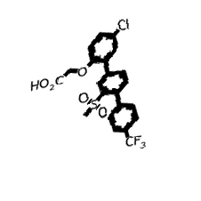 CS(=O)(=O)c1cc(-c2cc(Cl)ccc2OCC(=O)O)ccc1-c1ccc(C(F)(F)F)cc1